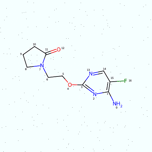 Nc1nc(OCCN2CCCC2=O)ncc1F